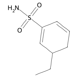 CCC1C=C(S(N)(=O)=O)C=CC1